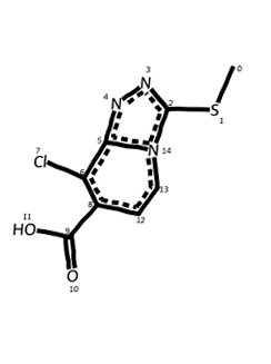 CSc1nnc2c(Cl)c(C(=O)O)ccn12